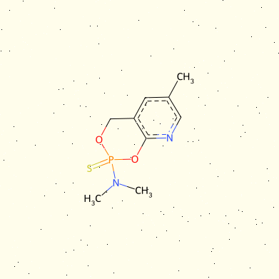 Cc1cnc2c(c1)COP(=S)(N(C)C)O2